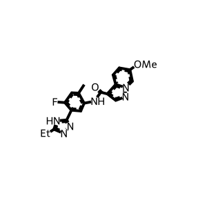 CCc1nnc(-c2cc(NC(=O)c3cnn4cc(OC)ccc34)c(C)cc2F)[nH]1